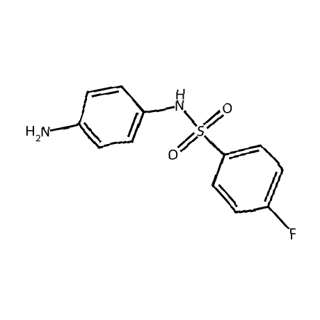 Nc1ccc(NS(=O)(=O)c2ccc(F)cc2)cc1